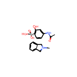 CC(=O)Nc1ccc([As](=O)(O)O)c(O)c1.CN1Cc2ccccc2C1